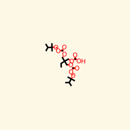 CCC(COC(=O)O)(COC(=O)OOC(C)(C)C(C)C)COC(=O)OOC(C)(C)C(C)C